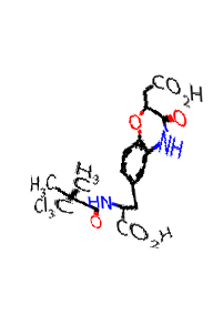 CC(C)(C(=O)N[C@@H](Cc1ccc2c(c1)NC(=O)C(CC(=O)O)O2)C(=O)O)C(Cl)(Cl)Cl